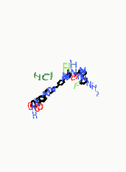 Cl.N[C@@H]1C[C@@H](F)CN(c2ccn3ncc(C(=O)Nc4cn(C5CCC(CCN6CCN(c7ccc8c(c7)CN(C7CCC(=O)NC7=O)C8=O)CC6)CC5)nc4C(F)F)c3n2)C1